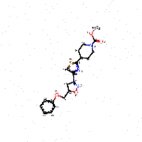 CC(C)(C)OC(=O)N1CCC(c2nc(C3=NOC(COc4ccccc4)C3)cs2)CC1